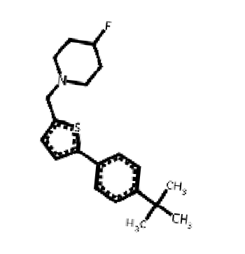 CC(C)(C)c1ccc(-c2ccc(CN3CCC(F)CC3)s2)cc1